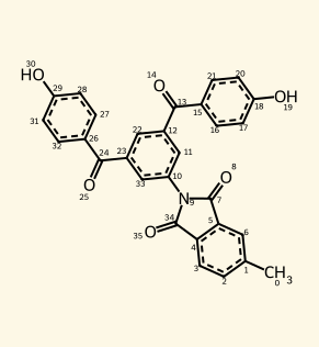 Cc1ccc2c(c1)C(=O)N(c1cc(C(=O)c3ccc(O)cc3)cc(C(=O)c3ccc(O)cc3)c1)C2=O